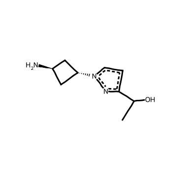 CC(O)c1ccn([C@H]2C[C@H](N)C2)n1